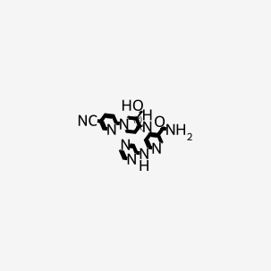 N#Cc1ccc(N2CC[C@@H](Nc3cc(Nc4cnccn4)ncc3C(N)=O)[C@H](CO)C2)nc1